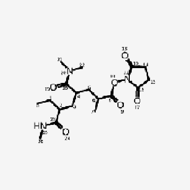 CCC(CC(CC(C)C(=O)ON1C(=O)CCC1=O)C(=O)N(C)C)C(=O)NC